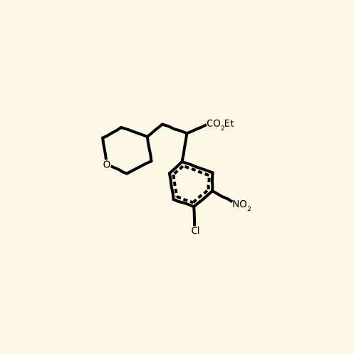 CCOC(=O)C(CC1CCOCC1)c1ccc(Cl)c([N+](=O)[O-])c1